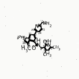 Cc1cc(C)c(CNC(=O)c2cc(-c3ccc(CN)nc3)cc3c2c(C)cn3C(C)C)c(=O)[nH]1